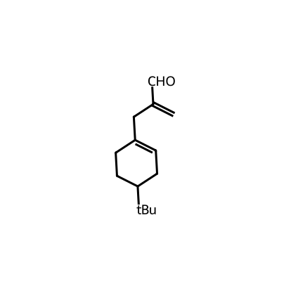 C=C(C=O)CC1=CCC(C(C)(C)C)CC1